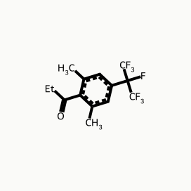 CCC(=O)c1c(C)cc(C(F)(C(F)(F)F)C(F)(F)F)cc1C